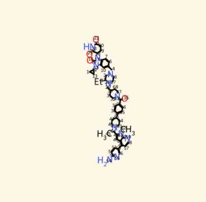 CC[C@H]1CN(Cc2ccc3c(c2)n(C2CC2)c(=O)n3[C@@H]2CCC(=O)NC2=O)CCN1CC1CCN(C(=O)c2ccc(C3CCN([C@@H](C)c4cc5c(-c6ccc(N)nc6)ccnc5n4C)CC3)cc2)CC1